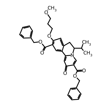 COCCCOc1cc2c(cc1C(=O)OCc1ccccc1)-c1cc(=O)c(C(=O)OCc3ccccc3)cn1C(C(C)C)C2